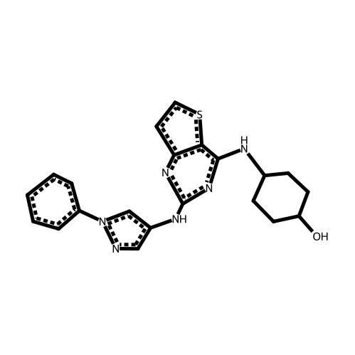 OC1CCC(Nc2nc(Nc3cnn(-c4ccccc4)c3)nc3ccsc23)CC1